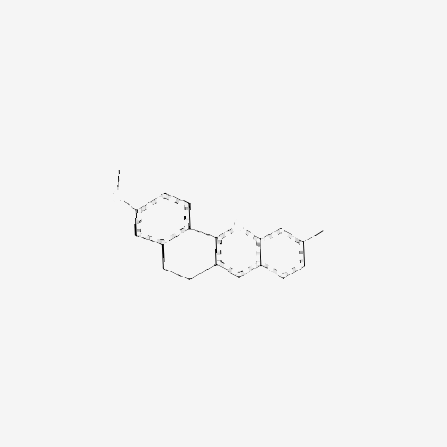 COc1ccc2c(c1)CCc1cc3ccc(C)cc3[o+]c1-2